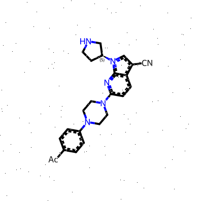 CC(=O)c1ccc(N2CCN(c3ccc4c(C#N)cn([C@H]5CCNC5)c4n3)CC2)cc1